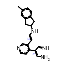 Cc1ccc2c(c1)CC(N/C=C/c1cnccc1/C(C=N)=C/N)C2